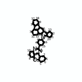 c1ccc2c(c1)Oc1cccc3nc(-c4ccc(-n5c6ccccc6c6cc7c8c(cccc8c65)-c5ccccc5-7)cc4)nc-2c13